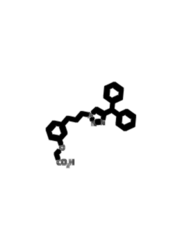 O=C(O)COc1cccc(CCCn2cc(C(c3ccccc3)c3ccccc3)nn2)c1